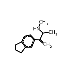 C=C(c1ccc2c(c1)CCC2)C(C)NC